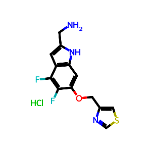 Cl.NCc1cc2c(F)c(F)c(OCc3cscn3)cc2[nH]1